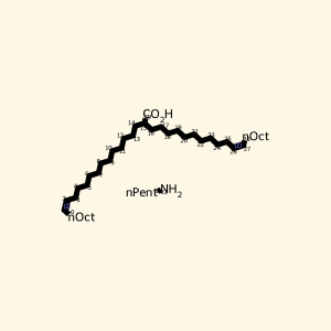 CCCCCCCC/C=C\CCCCCCCCCCCCC(CCCCCCCCCC/C=C\CCCCCCCC)C(=O)O.CCCCCN